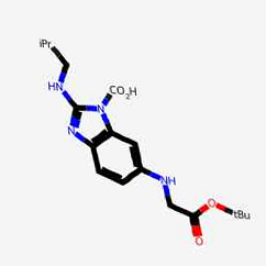 CC(C)CNc1nc2ccc(NCC(=O)OC(C)(C)C)cc2n1C(=O)O